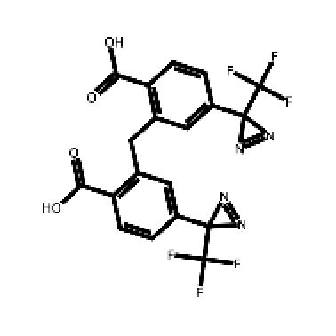 O=C(O)c1ccc(C2(C(F)(F)F)N=N2)cc1Cc1cc(C2(C(F)(F)F)N=N2)ccc1C(=O)O